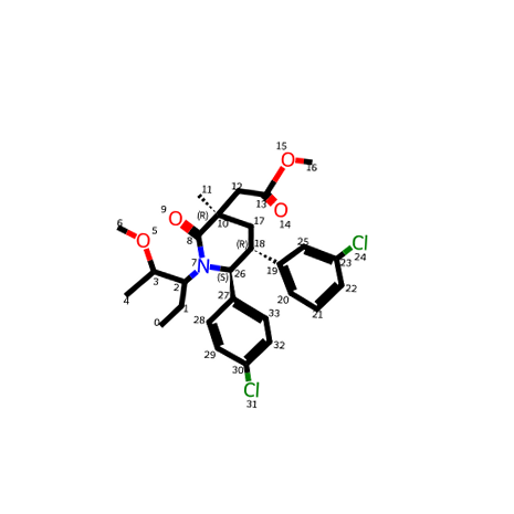 CCC(C(C)OC)N1C(=O)[C@@](C)(CC(=O)OC)C[C@H](c2cccc(Cl)c2)[C@H]1c1ccc(Cl)cc1